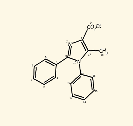 CCOC(=O)c1nc(-c2ccccc2)n(-c2ccccc2)c1C